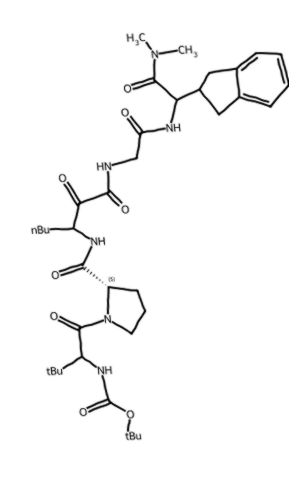 CCCCC(NC(=O)[C@@H]1CCCN1C(=O)C(NC(=O)OC(C)(C)C)C(C)(C)C)C(=O)C(=O)NCC(=O)NC(C(=O)N(C)C)C1Cc2ccccc2C1